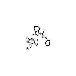 CC(C)C[C@@H]1NC(=O)[C@H](Cc2cn(C(=O)OCc3ccccc3)c3ccccc23)NC1=O